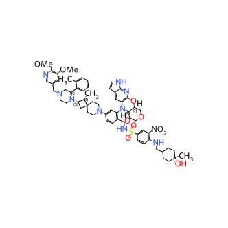 COc1cc(CN2CCN([C@H]3CC4(CCN(c5ccc(C(=O)NS(=O)(=O)c6ccc(NCC7CCC(C)(O)CC7)c([N+](=O)[O-])c6)c(N6c7cc8cc[nH]c8nc7O[C@H]7COCC[C@@H]76)c5)CC4)[C@H]3C)[C@H](c3ccccc3C)C2)cnc1OC